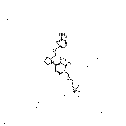 C[Si](C)(C)CCOCn1ncc(N2CCC[C@H]2COc2cccc(N)c2)c(C(F)(F)F)c1=O